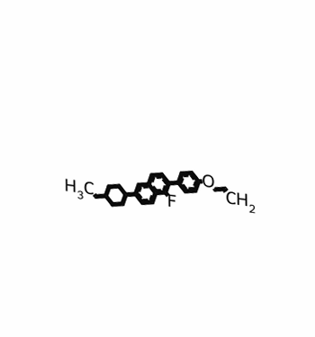 C=CCOc1ccc(-c2ccc3cc(C4CCC(CC)CC4)ccc3c2F)cc1